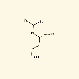 CCOC(=O)CC[C@H](NC(CC)CC)C(=O)OCC